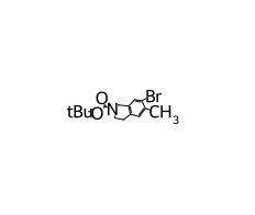 Cc1cc2c(cc1Br)CN(C(=O)OC(C)(C)C)CC2